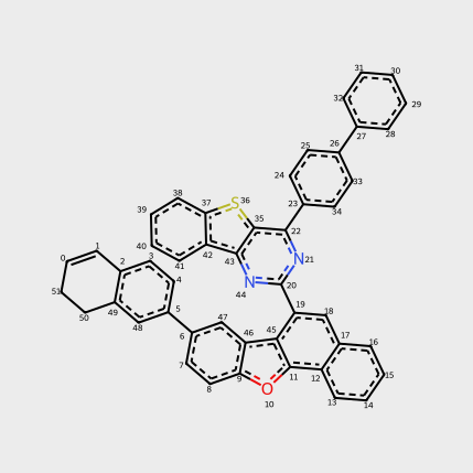 C1=Cc2ccc(-c3ccc4oc5c6ccccc6cc(-c6nc(-c7ccc(-c8ccccc8)cc7)c7sc8ccccc8c7n6)c5c4c3)cc2CC1